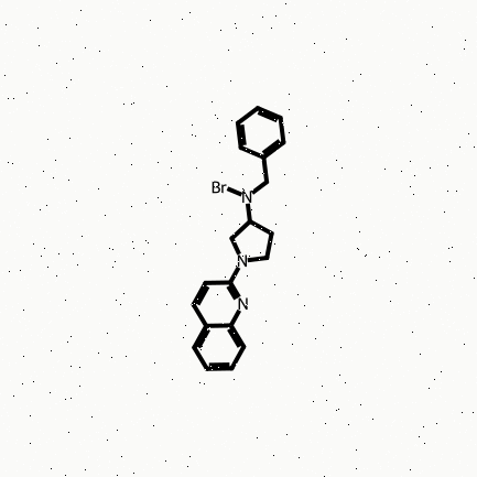 BrN(Cc1ccccc1)C1CCN(c2ccc3ccccc3n2)C1